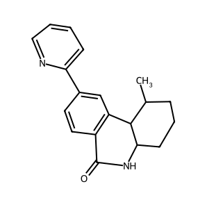 CC1CCCC2NC(=O)c3ccc(-c4ccccn4)cc3C12